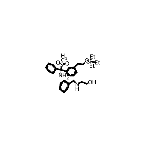 CC[Si](CC)(CC)OCCc1cccc([C@@](N)(c2ccccc2)S(C)(=O)=O)c1.OCCNCc1ccccc1